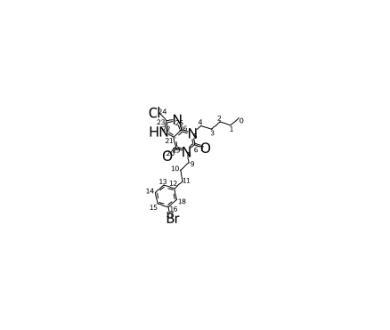 CCCCCn1c(=O)n(CCCc2cccc(Br)c2)c(=O)c2[nH]c(Cl)nc21